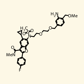 CNC(=O)c1c(-c2ccc(F)cc2)oc2cc(N(CCOCCOCc3ccc(COC)c(N)c3)S(C)(=O)=O)c(C3CC3)cc12